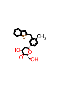 Cc1ccc([C@H]2C[C@@H](O)C(=O)[C@@H](CO)O2)cc1Cc1cc2ccccc2s1